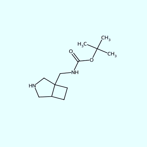 CC(C)(C)OC(=O)NCC12CCC1CNC2